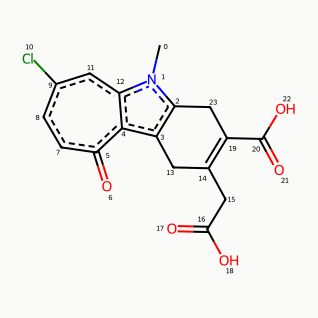 Cn1c2c(c3c(=O)ccc(Cl)cc31)CC(CC(=O)O)=C(C(=O)O)C2